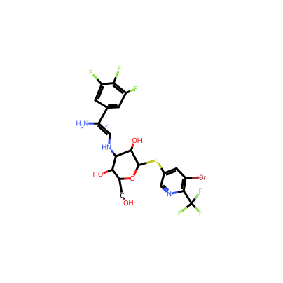 N/C(=C\NC1C(O)C(CO)OC(Sc2cnc(C(F)(F)F)c(Br)c2)C1O)c1cc(F)c(F)c(F)c1